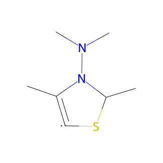 CC1=[C]SC(C)N1N(C)C